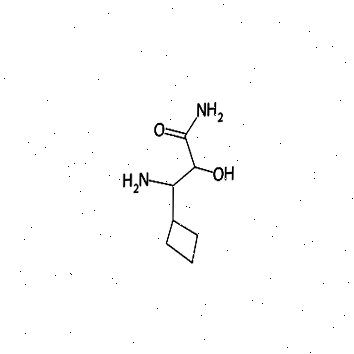 NC(=O)C(O)C(N)C1CCC1